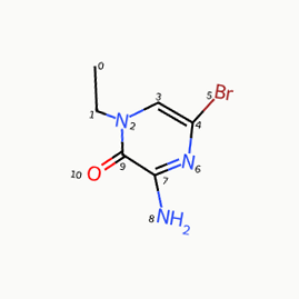 CCn1cc(Br)nc(N)c1=O